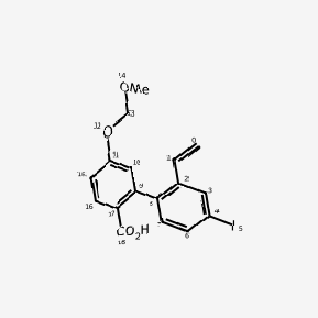 C=Cc1cc(I)ccc1-c1cc(OCOC)ccc1C(=O)O